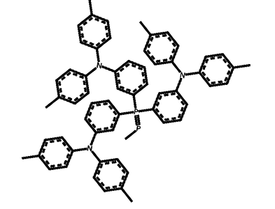 CP=P(c1cccc(N(c2ccc(C)cc2)c2ccc(C)cc2)c1)(c1cccc(N(c2ccc(C)cc2)c2ccc(C)cc2)c1)c1cccc(N(c2ccc(C)cc2)c2ccc(C)cc2)c1